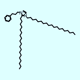 CCCCCCCCCCCCCCCCCCCc1n(CCCCCCCCCCCCCCCCCCC)cc[n+]1CCCc1ccccc1